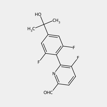 CC(C)(O)c1cc(F)c(-c2nc(C=O)ccc2F)c(F)c1